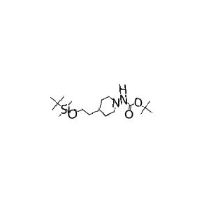 CC(C)(C)OC(=O)NN1CCC(CCO[Si](C)(C)C(C)(C)C)CC1